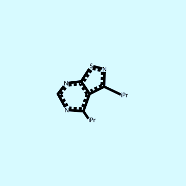 CC(C)c1ncnc2snc(C(C)C)c12